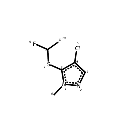 Cn1n[c]c(Cl)c1SC(F)F